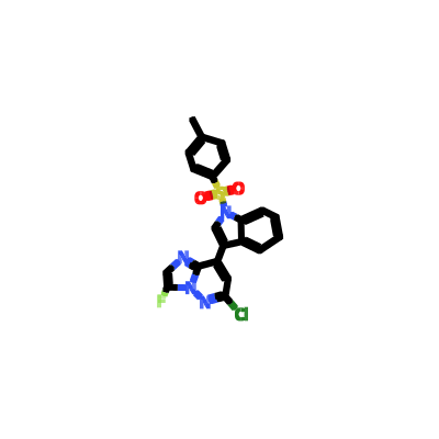 Cc1ccc(S(=O)(=O)n2cc(-c3cc(Cl)nn4c(F)cnc34)c3ccccc32)cc1